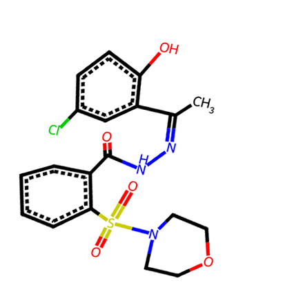 C/C(=N/NC(=O)c1ccccc1S(=O)(=O)N1CCOCC1)c1cc(Cl)ccc1O